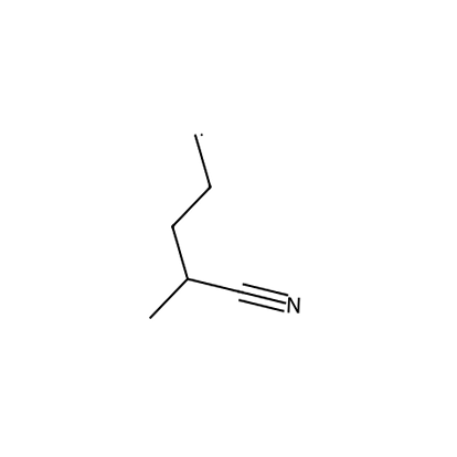 [CH2]CCC(C)C#N